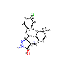 CCCCc1ccc(/C=C2/C(=O)N(C)N=C2CCc2ccc(Cl)cc2)cc1